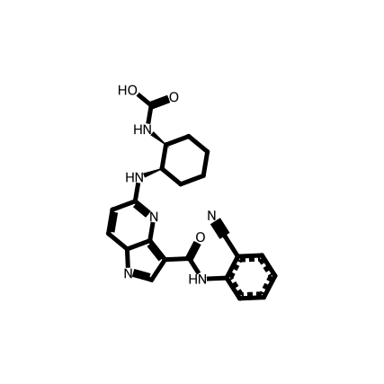 N#Cc1ccccc1NC(=O)C1=C2N=C(N[C@@H]3CCCC[C@@H]3NC(=O)O)C=CC2N=C1